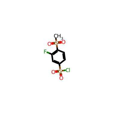 CS(=O)(=O)c1ccc(S(=O)(=O)Cl)cc1F